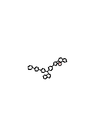 c1ccc(-c2ccc(-c3ccc(C(c4ccc(-c5ccc6c(c5)oc5c7ccccc7ccc65)cc4)c4cccc5ccccc45)cc3)cc2)cc1